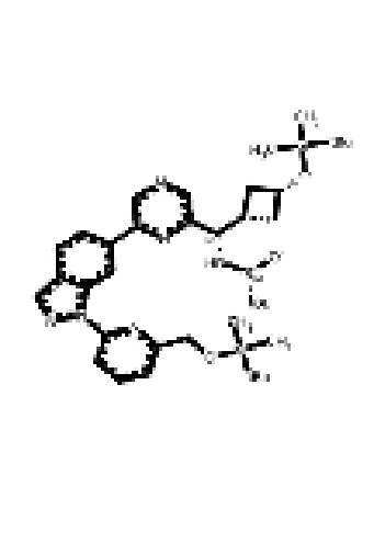 CC(C)(C)[S@@+]([O-])N[C@H](c1cncc(-c2ccc3cnn(-c4cccc(CO[Si](C)(C)C(C)(C)C)n4)c3c2)n1)[C@H]1C[C@@H](O[Si](C)(C)C(C)(C)C)C1